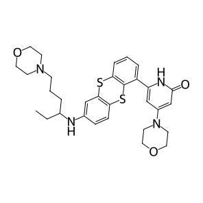 CCC(CCCN1CCOCC1)Nc1ccc2c(c1)Sc1cccc(-c3cc(N4CCOCC4)cc(=O)[nH]3)c1S2